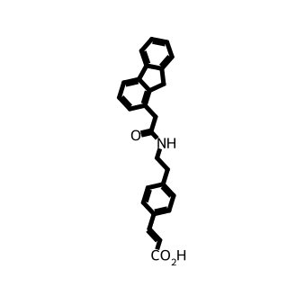 O=C(O)/C=C/c1ccc(CCNC(=O)Cc2cccc3c2Cc2ccccc2-3)cc1